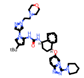 CC(C)(C)c1cc(NC(=O)N[C@H]2CC[C@@H](Oc3ccc4nnc(N5CCCCC5)n4c3)c3ccccc32)n(-c2cnn(CCN3CCOCC3)c2)c1